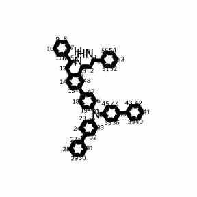 N=C(/C=C1\NC(c2ccccc2)=Cc2ccc(-c3ccc(N(c4ccc(-c5ccccc5)cc4)c4ccc(-c5ccccc5)cc4)cc3)cc21)c1ccccc1